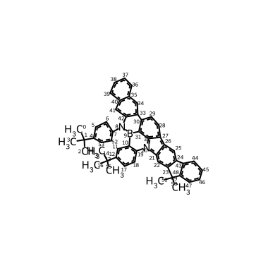 CC(C)(C)c1ccc(N2B3c4cc(C(C)(C)C)ccc4-n4c5cc6c(cc5c5ccc(c3c54)-c3cc4ccccc4cc32)-c2ccccc2C6(C)C)cc1